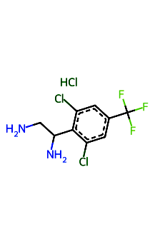 Cl.NCC(N)c1c(Cl)cc(C(F)(F)F)cc1Cl